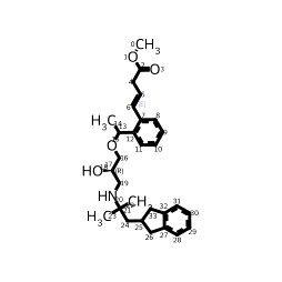 COC(=O)C/C=C/c1ccccc1C(C)OC[C@H](O)CNC(C)(C)CC1Cc2ccccc2C1